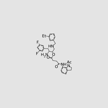 CCc1cccc(CNCC(OC(=O)CCC(=O)Nc2cccc3c2N(C(C)=O)CC3)C(N)Cc2cc(F)cc(F)c2)c1